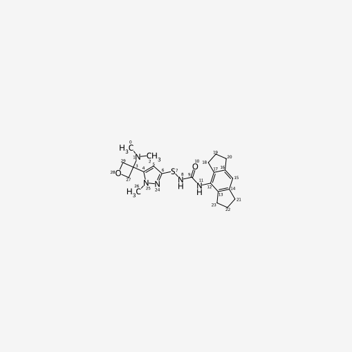 CN(C)C1(c2cc(SNC(=O)Nc3c4c(cc5c3CCC5)CCC4)nn2C)COC1